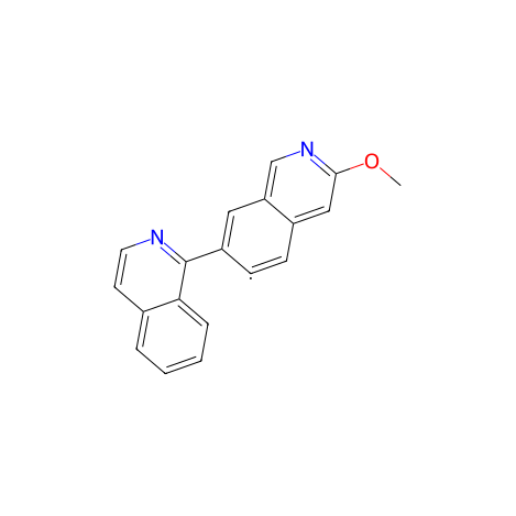 COc1cc2c[c]c(-c3nccc4ccccc34)cc2cn1